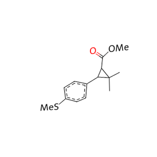 COC(=O)C1C(c2ccc(SC)cc2)C1(C)C